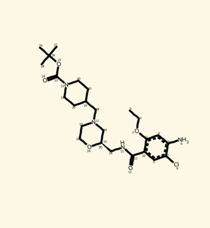 CCOc1cc(N)c(Cl)cc1C(=O)NC[C@@H]1CN(CC2CCN(C(=O)OC(C)(C)C)CC2)CCO1